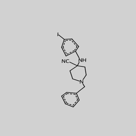 N#CC1(Nc2ccc(I)cc2)CCN(Cc2ccccc2)CC1